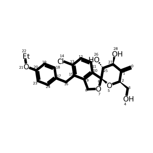 C=C1[C@@H](CO)O[C@]2(OCc3c2ccc(Cl)c3Cc2ccc(OCC)cc2)[C@H](O)[C@H]1O